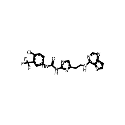 O=C(Nc1ccc(Cl)c(C(F)(F)F)c1)Nc1ncc(CCNc2ncnc3ccsc23)s1